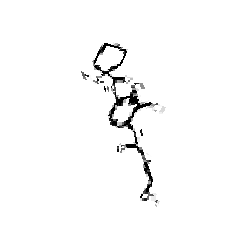 CCCOC(=O)Oc1ccc(NC(=O)C2(C)CCCCC2)c(Cl)c1Cl